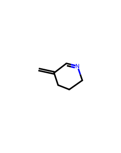 C=C1C=NCCC1